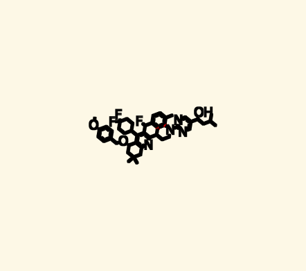 COc1ccc(COC2CC(C)(C)Cc3nc(C4CCN(c5ncc(C(O)CC(C)C)cn5)CC4)c(C(F)c4ccc(C)cc4)c(C4CCC(F)(F)CC4)c32)cc1